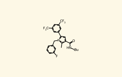 CCC(C)NC(=O)c1cc(-c2cc(C(F)(F)F)cc(C(F)(F)F)c2)n(Cc2cccc(F)c2)c1C